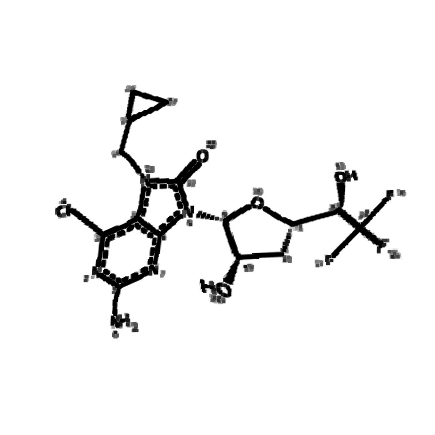 Nc1nc(Cl)c2c(n1)n([C@@H]1O[C@H]([C@@H](O)C(F)(F)F)C[C@H]1O)c(=O)n2CC1CC1